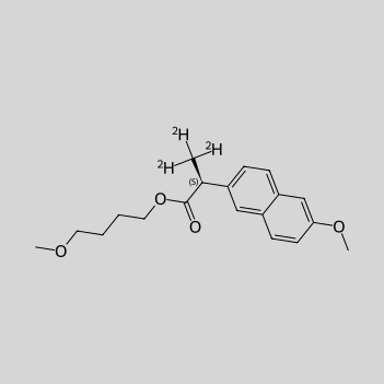 [2H]C([2H])([2H])[C@H](C(=O)OCCCCOC)c1ccc2cc(OC)ccc2c1